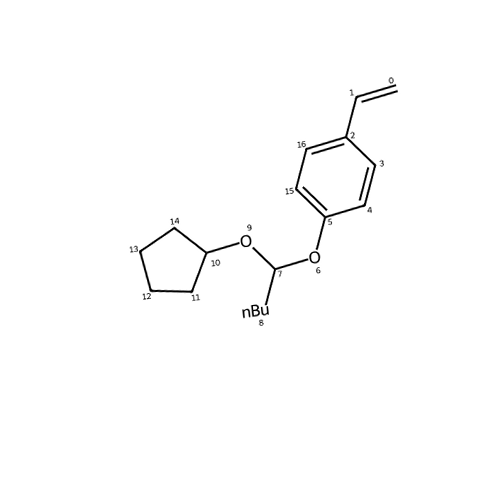 C=Cc1ccc(OC(CCCC)OC2CCCC2)cc1